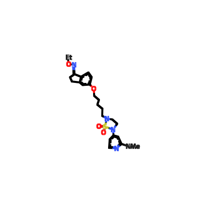 CCO/N=C1\CCc2cc(OCCCCCN3CCN(c4ccnc(NC)c4)S3(=O)=O)ccc21